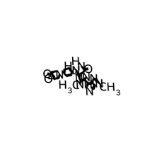 CNc1nc(Nc2ccc(N3CCS(=O)(=O)CC3)cc2)c(C(N)=O)nc1-c1cncc2c1ncn2C